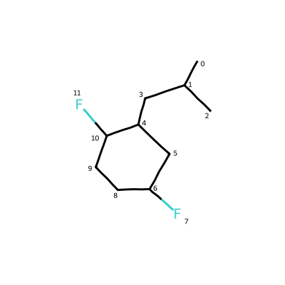 CC(C)CC1CC(F)CCC1F